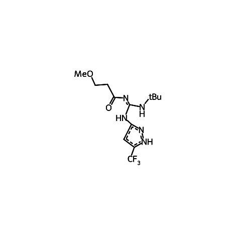 COCCC(=O)/N=C(\Nc1cc(C(F)(F)F)[nH]n1)NC(C)(C)C